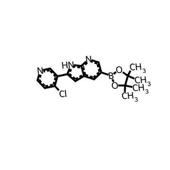 CC1(C)OB(c2cnc3[nH]c(-c4cnccc4Cl)cc3c2)OC1(C)C